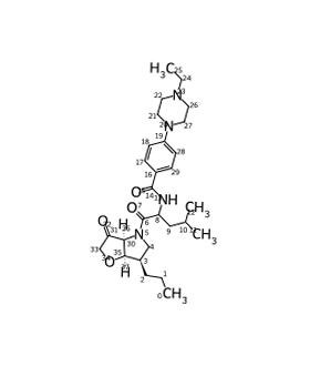 CCC[C@@H]1CN(C(=O)C(CC(C)C)NC(=O)c2ccc(N3CCN(CC)CC3)cc2)[C@@H]2C(=O)CO[C@H]12